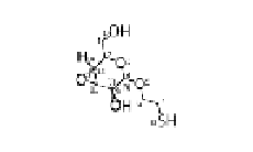 OCC1O[C@@H](OCCS)[C@@H](O)C2O[C@H]12